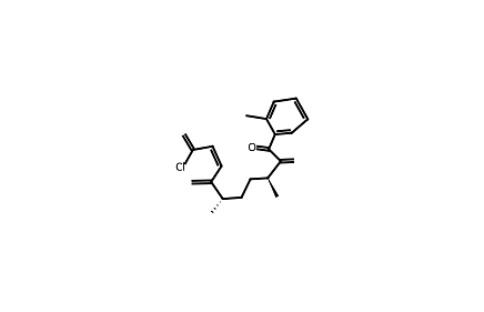 C=C(Cl)/C=C\C(=C)[C@@H](C)CC[C@H](C)C(=C)C(=O)c1ccccc1C